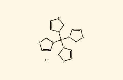 C1=CN([B-](N2C=CSC2)(N2C=CSC2)N2C=CSC2)CS1.[Li+]